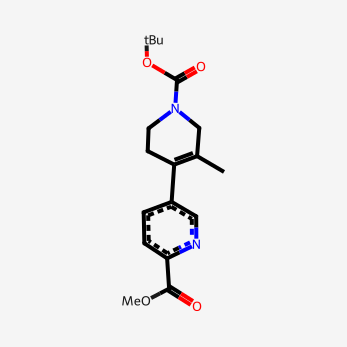 COC(=O)c1ccc(C2=C(C)CN(C(=O)OC(C)(C)C)CC2)cn1